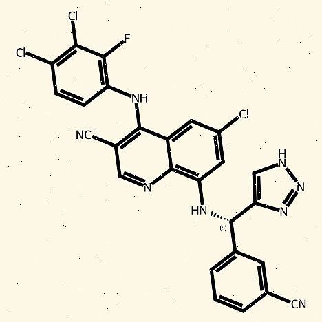 N#Cc1cccc([C@H](Nc2cc(Cl)cc3c(Nc4ccc(Cl)c(Cl)c4F)c(C#N)cnc23)c2c[nH]nn2)c1